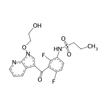 CCCS(=O)(=O)Nc1ccc(F)c(C(=O)c2cn(OCCO)c3ncccc23)c1F